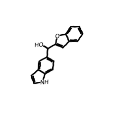 OC(c1ccc2[nH]ccc2c1)c1cc2ccccc2o1